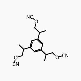 CC(COC#N)c1cc(C(C)COC#N)cc(C(C)COC#N)c1